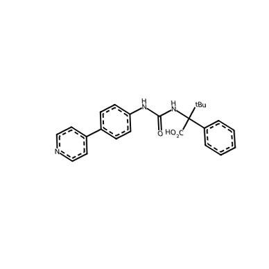 CC(C)(C)C(NC(=O)Nc1ccc(-c2ccncc2)cc1)(C(=O)O)c1ccccc1